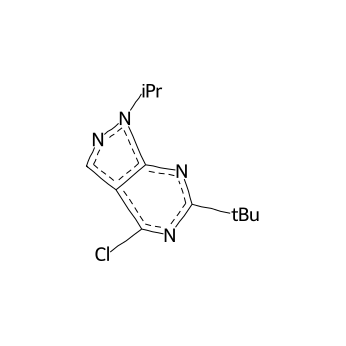 CC(C)n1ncc2c(Cl)nc(C(C)(C)C)nc21